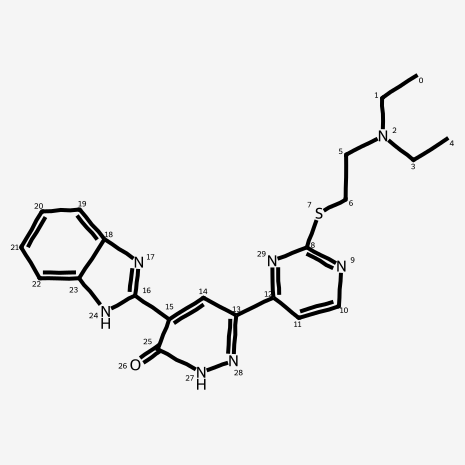 CCN(CC)CCSc1nccc(-c2cc(-c3nc4ccccc4[nH]3)c(=O)[nH]n2)n1